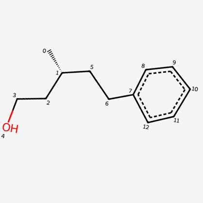 C[C@@H](CCO)CCc1ccccc1